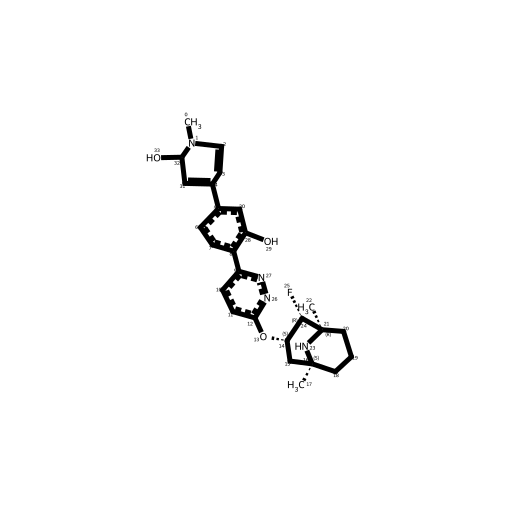 CN1C=CC(c2ccc(-c3ccc(O[C@H]4C[C@]5(C)CCC[C@@](C)(N5)[C@H]4F)nn3)c(O)c2)=CC1O